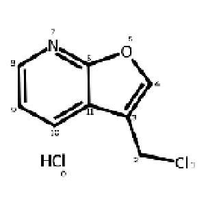 Cl.ClCc1coc2ncccc12